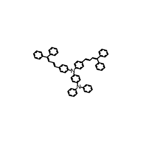 C(=Cc1ccc(N(c2ccc(C=CC=C(c3ccccc3)c3ccccc3)cc2)c2ccc(N(c3ccccc3)c3ccccc3)cc2)cc1)C=C(c1ccccc1)c1ccccc1